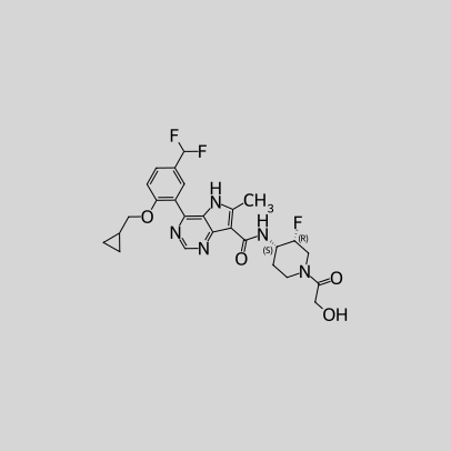 Cc1[nH]c2c(-c3cc(C(F)F)ccc3OCC3CC3)ncnc2c1C(=O)N[C@H]1CCN(C(=O)CO)C[C@H]1F